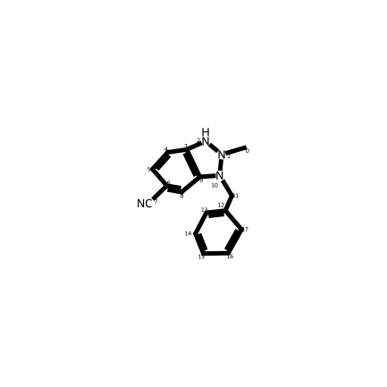 CN1Nc2ccc(C#N)cc2N1Cc1ccccc1